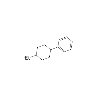 C[CH]C1CCC(c2ccccc2)CC1